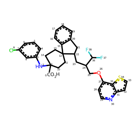 O=C(O)C1(Nc2cccc(Cl)c2)CCC2(CC1)c1ccccc1CC2CC(COc1ccnc2ccsc12)C(F)F